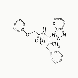 CC(C)(Cc1ccccc1)C(NC(=O)COc1ccccc1)n1nnc2ccccc21